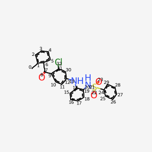 Cc1ccccc1C(=O)c1ccc(Nc2ccccc2NS(=O)(=O)c2ccccc2)cc1Cl